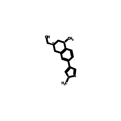 CN1C[C@H](CO)Cc2cc(-c3cnn(C)c3)ccc21